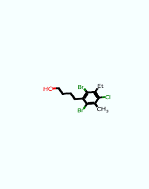 CCc1c(Cl)c(C)c(Br)c(CCCCO)c1Br